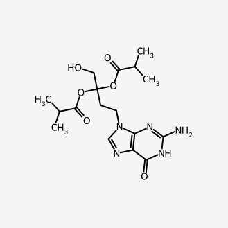 CC(C)C(=O)OC(CO)(CCn1cnc2c(=O)[nH]c(N)nc21)OC(=O)C(C)C